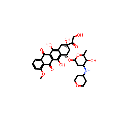 COc1cccc2c1C(=O)c1c(O)c3c(c(O)c1C2=O)C[C@@](O)(C(=O)CO)C[C@@H]3OC1CC(NC2CCOCC2)C(O)C(C)O1